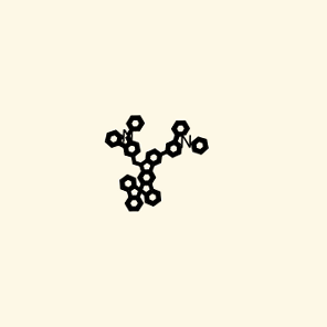 c1ccc(-n2c3ccccc3c3cc(CC4c5ccc(-c6ccc7c(c6)c6ccccc6n7-c6ccccc6)cc5-c5cc6c(cc54)C4(c5ccccc5-c5ccccc54)c4ccccc4-6)ccc32)cc1